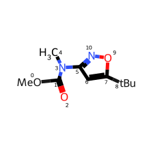 COC(=O)N(C)c1cc(C(C)(C)C)on1